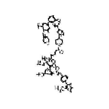 Cc1ncsc1-c1ccc(CNC(=O)[C@@H]2C[C@@H](O)CN2C(=O)[C@@H](NC(=O)CCCC(=O)N2CCC(n3cc(-c4cnc5cccc(-c6cc(F)c(CN7CCOCC7)c(F)c6)c5n4)cn3)CC2)C(C)(C)C)cc1